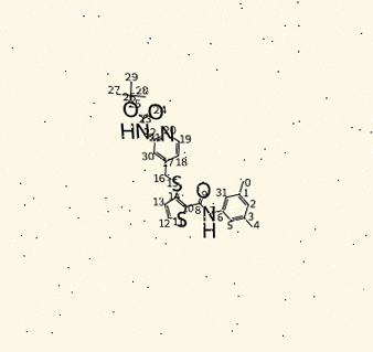 Cc1cc(C)cc(NC(=O)c2sccc2SCc2ccnc(NC(=O)OC(C)(C)C)c2)c1